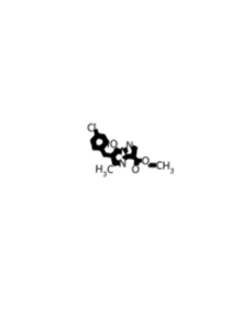 CCOC(=O)c1cnn2c(O)c(Cc3ccc(Cl)cc3)c(C)nc12